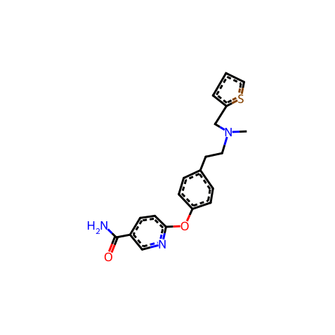 CN(CCc1ccc(Oc2ccc(C(N)=O)cn2)cc1)Cc1cccs1